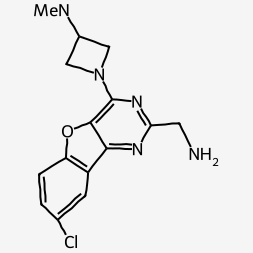 CNC1CN(c2nc(CN)nc3c2oc2ccc(Cl)cc23)C1